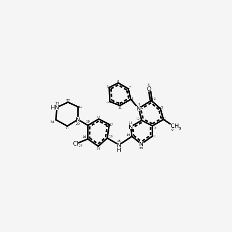 Cc1cc(=O)n(-c2ccccc2)c2nc(Nc3ccc(N4CCNCC4)c(Cl)c3)ncc12